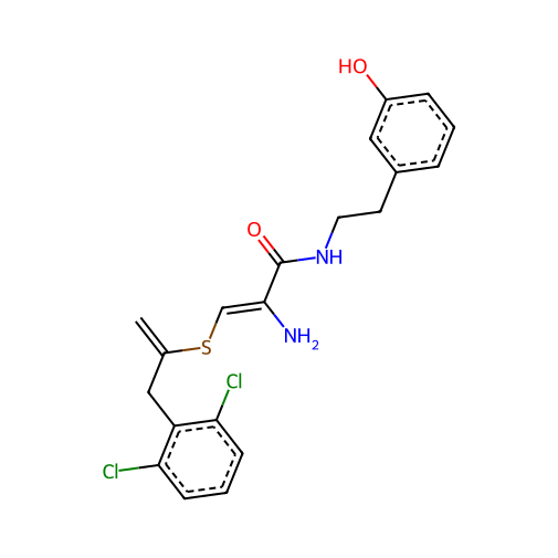 C=C(Cc1c(Cl)cccc1Cl)S/C=C(\N)C(=O)NCCc1cccc(O)c1